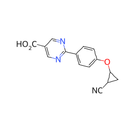 N#CC1CC1Oc1ccc(-c2ncc(C(=O)O)cn2)cc1